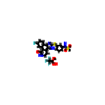 CS(=O)(=O)Nc1cccc(Sc2nc3c4ccc(F)cc4c4c(=O)[nH]ccc4c3[nH]2)c1.O=C(O)C(F)(F)F